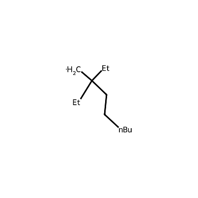 [CH2]C(CC)(CC)CCCCCC